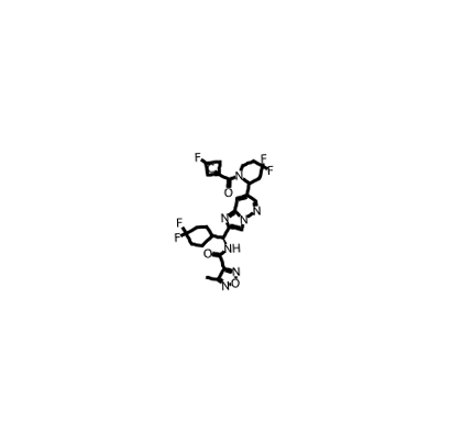 Cc1nonc1C(=O)N[C@H](c1cn2ncc(C3CC(F)(F)CCN3C(=O)C34CC(F)(C3)C4)cc2n1)C1CCC(F)(F)CC1